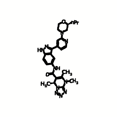 CCC[C@H]1CN(c2cc(-c3n[nH]c4ccc(NC(=O)C5=C(C)N(C)c6nnnn6[C@H]5C)cc34)ccn2)CCO1